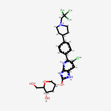 OCC1OC[C@H](Oc2nc3nc(-c4ccc(C5CCN(CC(F)(F)F)CC5)cc4)c(Cl)cc3[nH]2)C[C@@H]1O